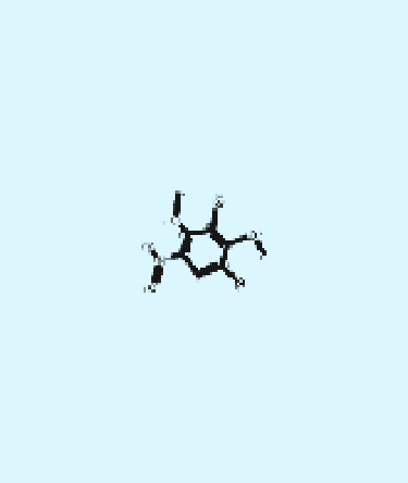 COc1c(Br)cc([N+](=O)[O-])c(OC)c1Br